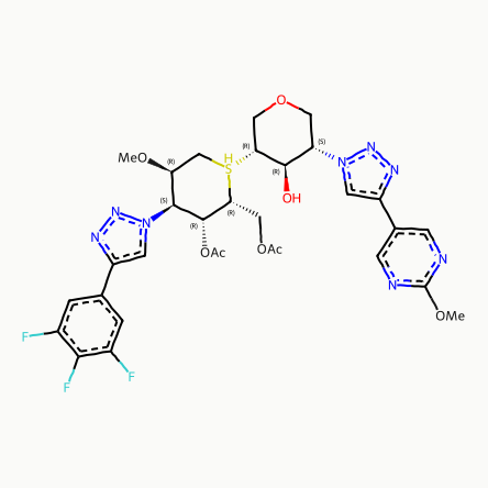 COc1ncc(-c2cn([C@H]3COC[C@@H]([SH]4C[C@H](OC)[C@H](n5cc(-c6cc(F)c(F)c(F)c6)nn5)[C@@H](OC(C)=O)[C@H]4COC(C)=O)[C@@H]3O)nn2)cn1